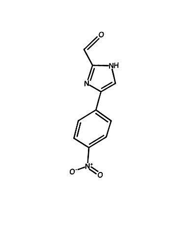 O=Cc1nc(-c2ccc([N+](=O)[O-])cc2)c[nH]1